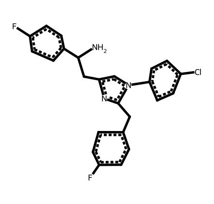 NC(Cc1cn(-c2ccc(Cl)cc2)c(Cc2ccc(F)cc2)n1)c1ccc(F)cc1